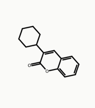 O=c1oc2ccccc2cc1C1CCCCC1